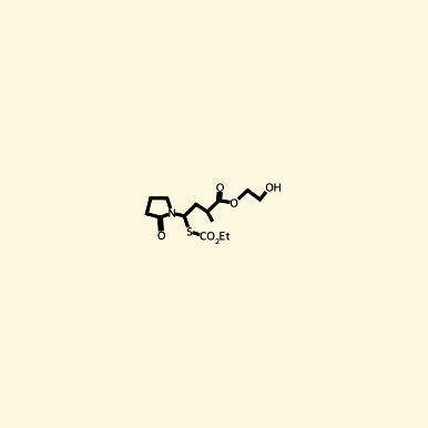 CCOC(=O)SC(CC(C)C(=O)OCCO)N1CCCC1=O